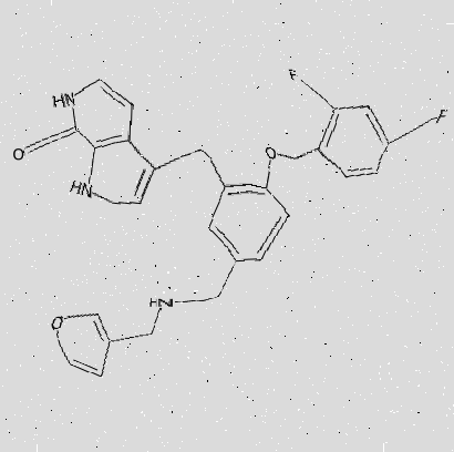 O=c1[nH]ccc2c(Cc3cc(CNCc4ccoc4)ccc3Oc3ccc(F)cc3F)c[nH]c12